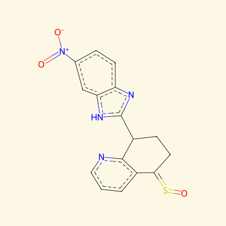 O=S=C1CCC(c2nc3ccc([N+](=O)[O-])cc3[nH]2)c2ncccc21